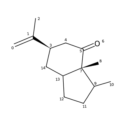 C=C(C)[C@H]1CC(=O)[C@]2(C)C(C)CCC2C1